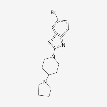 Brc1ccc2nc(N3CCC(N4CCCC4)CC3)sc2c1